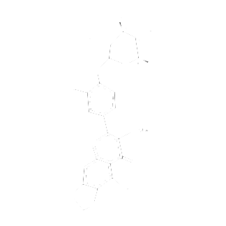 COc1c(-c2ccc(OC3O[C@H](C)[C@@H](O)[C@H](O)[C@H]3O)c(O)c2)oc2cc3c(c(O)c2c1=O)OCO3